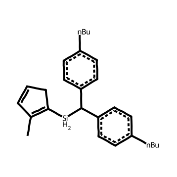 CCCCc1ccc(C([SiH2]C2=C(C)C=CC2)c2ccc(CCCC)cc2)cc1